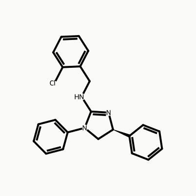 Clc1ccccc1CNC1=N[C@@H](c2ccccc2)CN1c1ccccc1